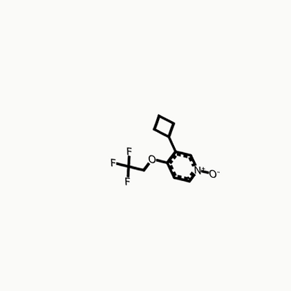 [O-][n+]1ccc(OCC(F)(F)F)c(C2CCC2)c1